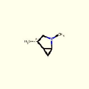 C[C@@H]1CN(C)C2CC21